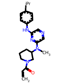 C=CC(=O)N1CCCC(N(C)c2cncc(Nc3ccc(C(C)C)cc3)n2)C1